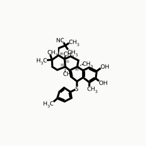 Cc1ccc(SC2C=C3[C@@](C)(CC[C@@]4(C)[C@H](CC(C)(C)C#N)C(C)(C)CC[C@]34C)c3cc(O)c(O)c(C)c32)cc1